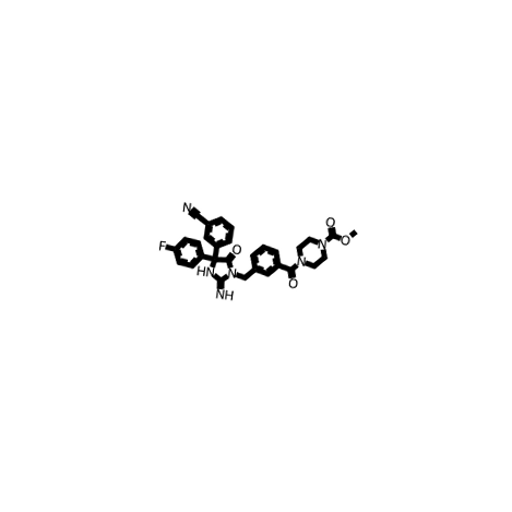 COC(=O)N1CCN(C(=O)c2cccc(CN3C(=N)NC(c4ccc(F)cc4)(c4cccc(C#N)c4)C3=O)c2)CC1